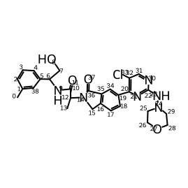 Cc1cccc(C(CO)NC(=O)C(C)N2Cc3ccc(-c4nc(NN5CCOCC5)ncc4Cl)cc3C2=O)c1